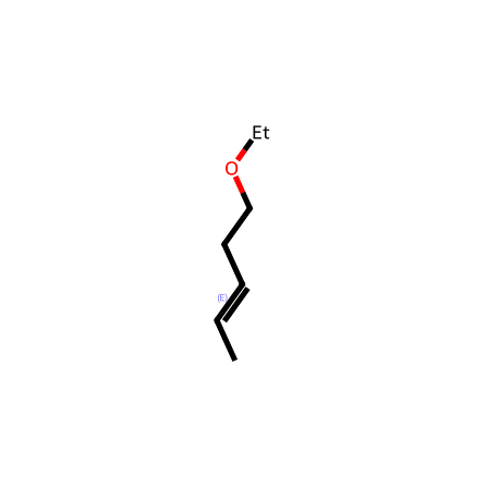 C/C=C/CCOCC